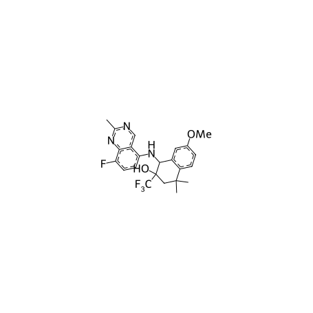 COc1ccc2c(c1)C(Nc1ccc(F)c3nc(C)ncc13)C(O)(C(F)(F)F)CC2(C)C